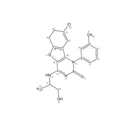 Cc1cccc(-n2c(=O)nc(NC(C)CO)c3oc4c(c32)C=C(Cl)CC4)c1